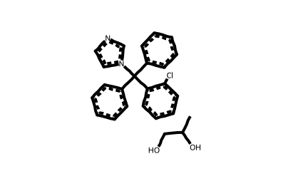 CC(O)CO.Clc1ccccc1C(c1ccccc1)(c1ccccc1)n1ccnc1